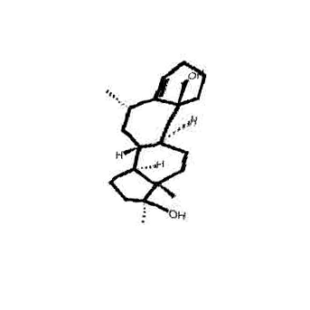 C[C@H]1C[C@@H]2[C@H](CC[C@@]3(C)[C@H]2CC[C@]3(C)O)[C@@]2(CO)CCCC=C12